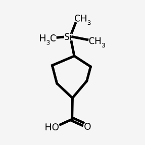 C[Si](C)(C)C1CCC(C(=O)O)CC1